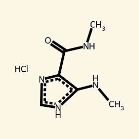 CNC(=O)c1nc[nH]c1NC.Cl